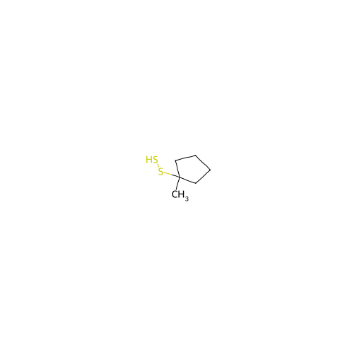 CC1(SS)CCCC1